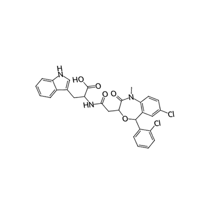 CN1C(=O)C(CC(=O)NC(Cc2c[nH]c3ccccc23)C(=O)O)OC(c2ccccc2Cl)c2cc(Cl)ccc21